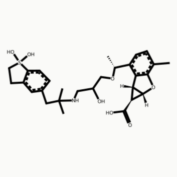 Cc1ccc([C@@H](C)OCC(O)CNC(C)(C)Cc2ccc3c(c2)CCS3(O)O)c2c1O[C@@H]1[C@@H](C(=O)O)[C@H]21